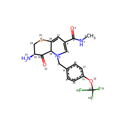 CNC(=O)C1=CN(Cc2ccc(OC(F)(F)F)cc2)C2C(=O)[C@@H](N)CSC2=C1